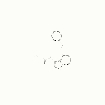 COC(=O)C(C)c1c[nH]c2cccc(OCc3ccccc3)c12